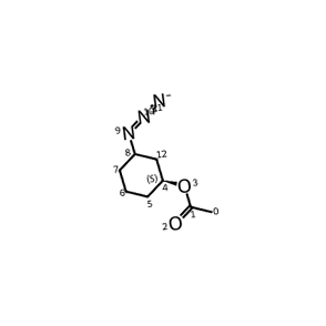 CC(=O)O[C@H]1CCCC(N=[N+]=[N-])C1